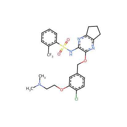 CN(C)CCOc1cc(COc2nc3c(nc2NS(=O)(=O)c2ccccc2C(F)(F)F)CCC3)ccc1Cl